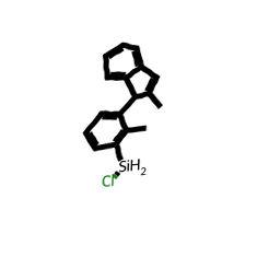 CC1=Cc2ccccc2C1c1cccc([SiH2]Cl)c1C